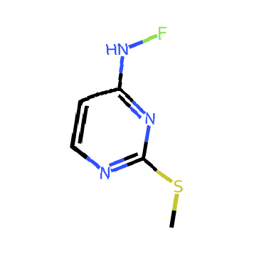 CSc1nccc(NF)n1